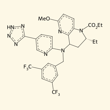 CCOC(=O)N1c2ccc(OC)nc2C(N(Cc2cc(C(F)(F)F)cc(C(F)(F)F)c2)c2ccc(-c3nn[nH]n3)cn2)C[C@H]1CC